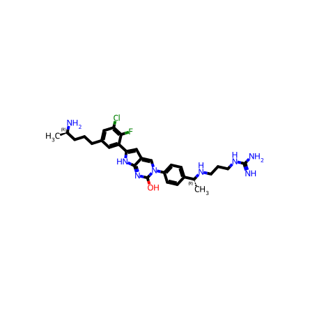 C[C@@H](N)CCCc1cc(Cl)c(F)c(-c2cc3c([nH]2)=NC(O)N(c2ccc([C@@H](C)NCCCNC(=N)N)cc2)C=3)c1